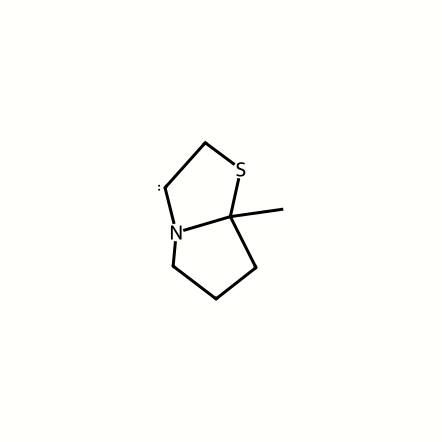 CC12CCCN1[C]CS2